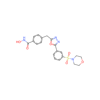 O=C(NO)c1ccc(Cc2nnc(-c3cccc(S(=O)(=O)N4CCOCC4)c3)o2)cc1